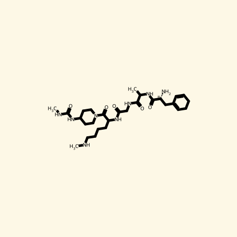 CNCCCCC(NC(=O)CNC(=O)C(C)NC(=O)[C@H](N)CC1=CCCC=C1)C(=O)N1CCC(NC(=O)NC)CC1